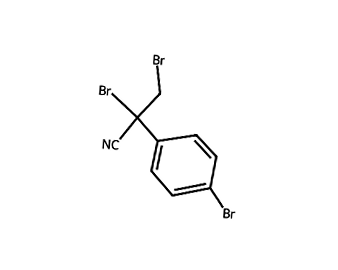 N#CC(Br)(CBr)c1ccc(Br)cc1